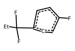 [CH2]CC(F)(F)c1ccc(F)cc1